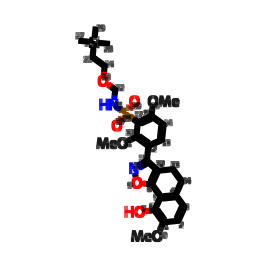 COc1ccc2c(c1O)-c1onc(-c3ccc(OC)c(S(=O)(=O)NCOCC[Si](C)(C)C)c3OC)c1CC2